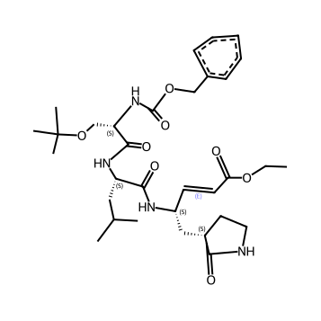 CCOC(=O)/C=C/[C@H](C[C@@H]1CCNC1=O)NC(=O)[C@H](CC(C)C)NC(=O)[C@H](COC(C)(C)C)NC(=O)OCc1ccccc1